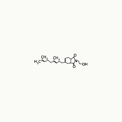 CC(C)=CCC/C(C)=C/CCC1=CCC2C(=O)N(CCO)C(=O)C2C1